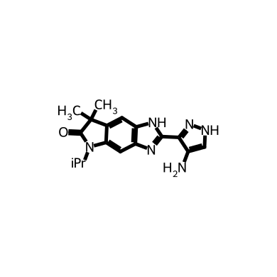 CC(C)N1C(=O)C(C)(C)c2cc3[nH]c(-c4n[nH]cc4N)nc3cc21